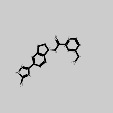 CCc1nc(-c2ccc3c(c2)CC[C@H]3CC(=O)c2cc(CO)ccn2)no1